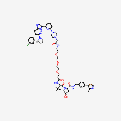 Cc1ncsc1-c1ccc(CNC(=O)[C@@H]2C[C@@H](O)CN2C(=O)C(NC(=O)CCOCCOCCOCCNC(=O)CN2CCN(c3cccc(-c4cnc5ccc(N6CCC[C@@H]6c6cccc(F)c6)nn45)n3)CC2)C(C)(C)C)cc1